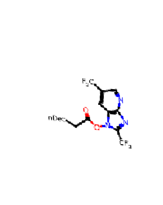 CCCCCCCCCCCC(=O)On1c(C(F)(F)F)nc2ncc(C(F)(F)F)cc21